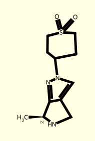 C[C@@H]1NCc2cn(C3CCS(=O)(=O)CC3)nc21